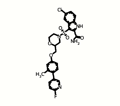 Cc1cc(OCC2CN(S(=O)(=O)c3c(C(N)=O)[nH]c4ccc(Cl)cc34)CCO2)ccc1-c1ccc(F)nc1